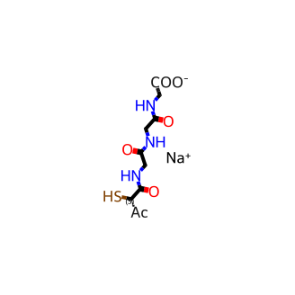 CC(=O)[C@H](S)C(=O)NCC(=O)NCC(=O)NCC(=O)[O-].[Na+]